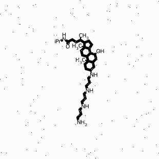 CC(C)NC(=O)CC[C@@H](C)C1CCC2C3C(CC[C@@]21C)[C@@]1(C)CC[C@H](NCCCNCCCNCCCN)CC1C[C@@H]3O